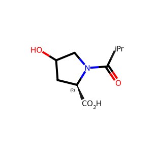 CC(C)C(=O)N1CC(O)C[C@@H]1C(=O)O